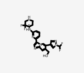 OCc1cc2ncc(-c3cccc(N[C@@H]4CCNCC4(F)F)n3)n2cc1-c1cnn(C(F)F)c1